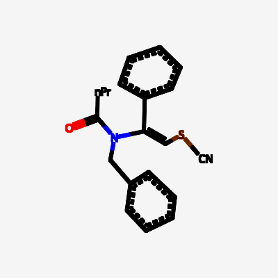 CCCC(=O)N(Cc1ccccc1)C(=CSC#N)c1ccccc1